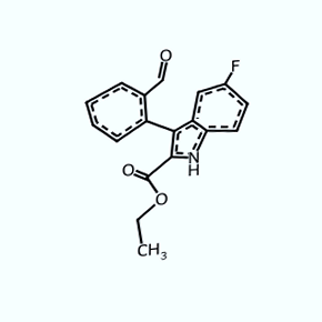 CCOC(=O)c1[nH]c2ccc(F)cc2c1-c1ccccc1C=O